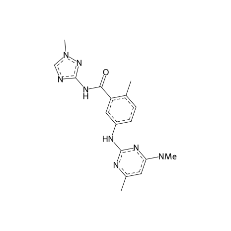 CNc1cc(C)nc(Nc2ccc(C)c(C(=O)Nc3ncn(C)n3)c2)n1